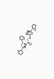 O=C(CSc1nnc(-c2ccco2)o1)N1N=C(c2cccs2)CC1c1ccco1